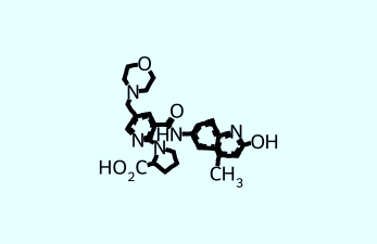 Cc1cc(O)nc2ccc(NC(=O)c3cc(CN4CCOCC4)cnc3N3CCCC3C(=O)O)cc12